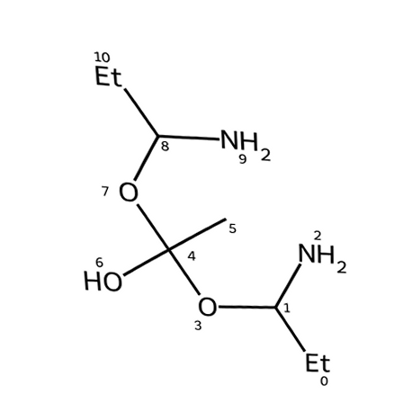 CCC(N)OC(C)(O)OC(N)CC